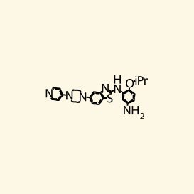 CC(C)Oc1ccc(N)cc1Nc1nc2cc(N3CCN(c4ccncc4)CC3)ccc2s1